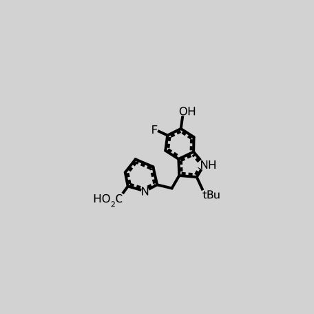 CC(C)(C)c1[nH]c2cc(O)c(F)cc2c1Cc1cccc(C(=O)O)n1